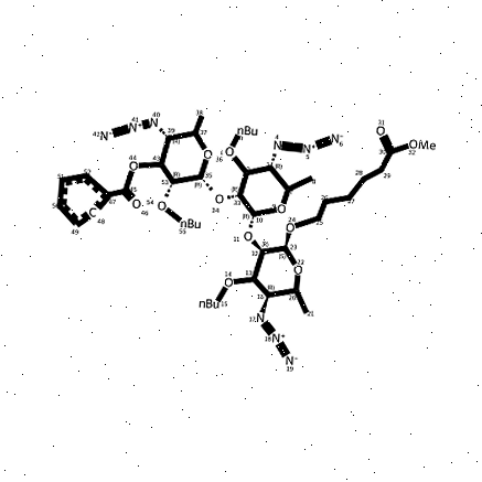 CCCCOC1[C@H](N=[N+]=[N-])C(C)O[C@H](O[C@@H]2C(OCCCC)[C@H](N=[N+]=[N-])C(C)O[C@@H]2OCCCCCC(=O)OC)[C@@H]1O[C@H]1OC(C)[C@@H](N=[N+]=[N-])C(OC(=O)c2ccccc2)[C@H]1OCCCC